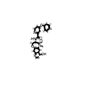 CN1C(=O)[C@@H](NC(=O)c2cc(Oc3ccccc3)ccn2)COc2cc3ncnc(O)c3cc21